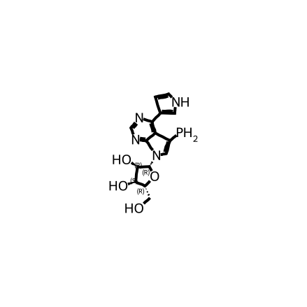 OC[C@H]1O[C@@H](n2cc(P)c3c(-c4cc[nH]c4)ncnc32)[C@H](O)[C@@H]1O